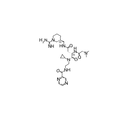 CN(C)CC(=O)N[C@@H](CC(=O)NC[C@@H]1CCCN(C(=N)N)C1)C(=O)N(CCNC(=O)c1cnccn1)C1CC1